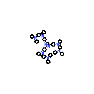 c1ccc(N(c2ccccc2)c2ccc3c4ccccc4n(-c4ccc(-c5cc(-c6ccc(-n7c8ccccc8c8ccc(N(c9ccccc9)c9ccccc9)cc87)cc6)nc(-c6ccc(-n7c8ccccc8c8ccc(N(c9ccccc9)c9ccccc9)cc87)cc6)n5)cc4)c3c2)cc1